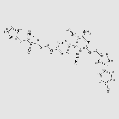 [C-]#[N+]c1c(N)nc(SCc2csc(-c3ccc(Cl)cc3)n2)c(C#N)c1-c1ccc(OCCOC(=O)[C@@H](N)Cc2c[nH]cn2)cc1